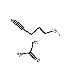 CCCCC#N.CCCCC(N)=O